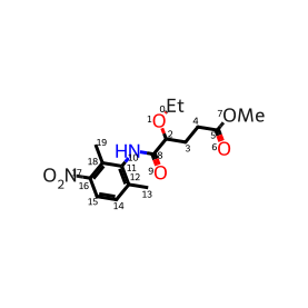 CCOC(CCC(=O)OC)C(=O)Nc1c(C)ccc([N+](=O)[O-])c1C